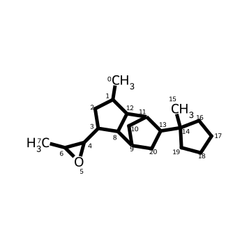 CC1CC(C2OC2C)C2C3CC(C12)C(C1(C)CCCC1)C3